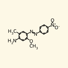 COc1cc(N)c(C)cc1N=Nc1ccc([N+](=O)[O-])cc1